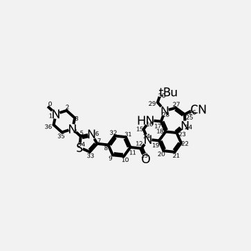 CN1CCN(c2nc(-c3ccc(C(=O)N4CNC5=c6c4cccc6=NC(C#N)=CN5CC(C)(C)C)cc3)cs2)CC1